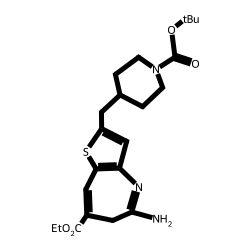 CCOC(=O)C1=Cc2sc(CC3CCN(C(=O)OC(C)(C)C)CC3)cc2N=C(N)C1